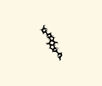 Cc1ccc(-c2cc3c(s2)-c2c(C)c4c(c(C)c2C3)-c2sc(-c3ccc(C)s3)cc2C4)s1